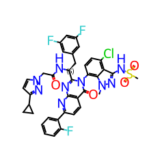 Cn1nc(NS(C)(=O)=O)c2c(Cl)ccc(-n3c([C@H](Cc4cc(F)cc(F)c4)NC(=O)Cn4ccc(C5CC5)n4)nc4nc(-c5ccccc5F)ccc4c3=O)c21